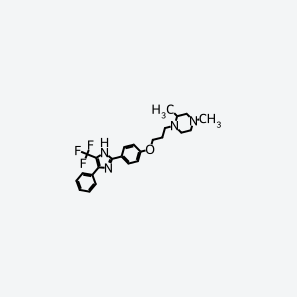 CC1CN(C)CCN1CCCOc1ccc(-c2nc(-c3ccccc3)c(C(F)(F)F)[nH]2)cc1